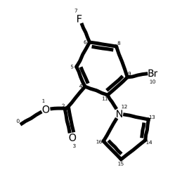 COC(=O)c1cc(F)cc(Br)c1-n1cccc1